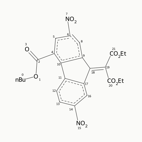 CCCCOC(=O)c1cc([N+](=O)[O-])cc2c1-c1ccc([N+](=O)[O-])cc1C2=C(C(=O)OCC)C(=O)OCC